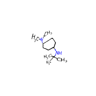 CN(C)[C@H]1CC[C@@H](NC(C)(C)C)CC1